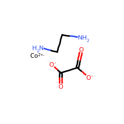 NCCN.O=C([O-])C(=O)[O-].[Co+2]